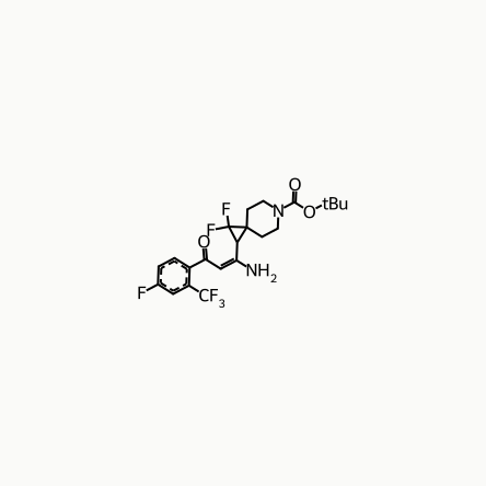 CC(C)(C)OC(=O)N1CCC2(CC1)C(/C(N)=C\C(=O)c1ccc(F)cc1C(F)(F)F)C2(F)F